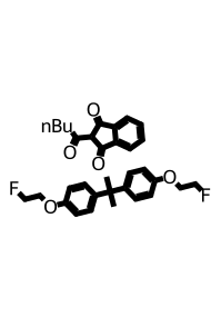 CC(C)(c1ccc(OCCF)cc1)c1ccc(OCCF)cc1.CCCCC(=O)C1C(=O)c2ccccc2C1=O